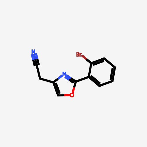 N#CCc1coc(-c2ccccc2Br)n1